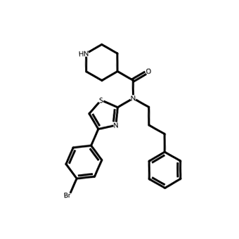 O=C(C1CCNCC1)N(CCCc1ccccc1)c1nc(-c2ccc(Br)cc2)cs1